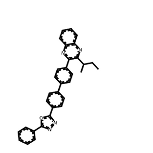 CCC(C)c1nc2ccccc2nc1-c1ccc(-c2ccc(-c3nnc(-c4ccccc4)o3)cc2)cc1